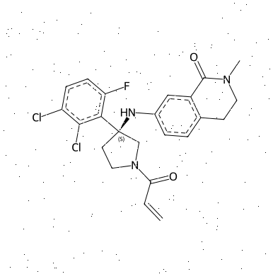 C=CC(=O)N1CC[C@](Nc2ccc3c(c2)C(=O)N(C)CC3)(c2c(F)ccc(Cl)c2Cl)C1